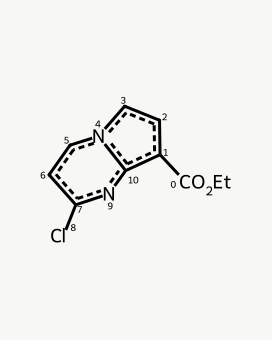 CCOC(=O)c1ccn2ccc(Cl)nc12